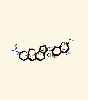 C=C(/C=C\CC)/C=C\C(=C/C(=C)C=N)[C@H]1CC[C@@H]2[C@]1(C)CC=C1C=C3CC[C@@H](NC)C[C@]34CC[C@@]12O4